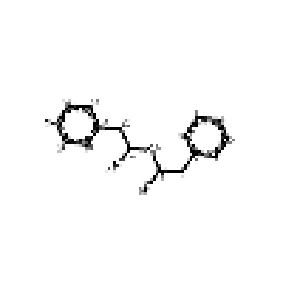 FC(Cc1ccccc1)SC(F)Cc1ccccc1